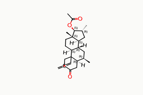 C=C=CC12CCC(=O)C[C@@H]1[C@H](C)C[C@@H]1[C@@H]2CC[C@@]2(C)[C@H]1C[C@@H](C)[C@@H]2OC(C)=O